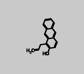 C=CCc1c(O)ccc2cc3ccccc3cc12